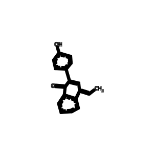 CC=C1C=C(c2ccc(O)cc2)C(=O)c2ccccc21